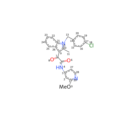 COc1cc(NC(=O)C(=O)c2c(C)n(Cc3ccc(Cl)cc3)c3ccccc23)ccn1